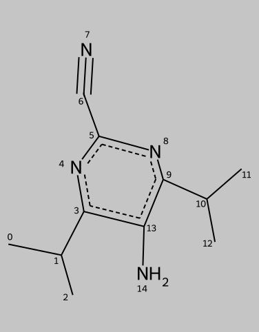 CC(C)c1nc(C#N)nc(C(C)C)c1N